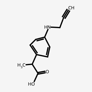 C#CCNc1ccc(C(C)C(=O)O)cc1